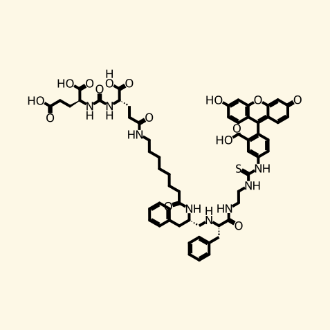 O=C(O)CC[C@H](NC(=O)N[C@@H](CCC(=O)NCCCCCCCC(=O)N[C@H](CN[C@@H](Cc1ccccc1)C(=O)NCCNC(=S)Nc1ccc(-c2c3ccc(=O)cc-3oc3cc(O)ccc23)c(C(=O)O)c1)Cc1ccccc1)C(=O)O)C(=O)O